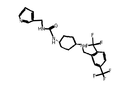 O=C(NCc1cccnc1)N[C@H]1CC[C@H](NCc2cc(C(F)(F)F)ccc2C(F)(F)F)CC1